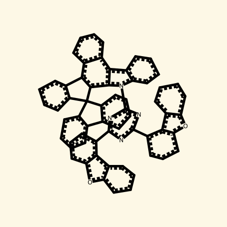 c1ccc2c(c1)-c1ccccc1C21c2ccccc2-c2c1c1c(c3ccccc23)c2ccccc2n1-c1nc(-c2cccc3oc4ccccc4c23)nc(-c2cccc3oc4ccccc4c23)n1